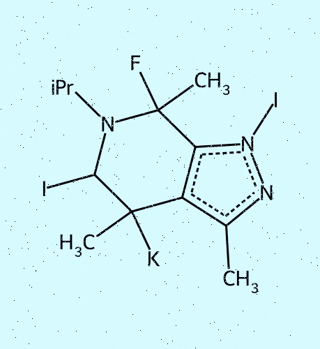 Cc1nn(I)c2c1[C](C)([K])C(I)N(C(C)C)C2(C)F